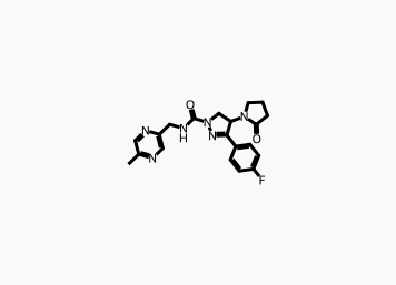 Cc1cnc(CNC(=O)N2CC(N3CCCC3=O)C(c3ccc(F)cc3)=N2)cn1